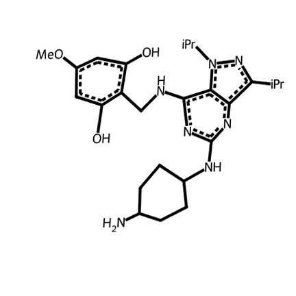 COc1cc(O)c(CNc2nc(NC3CCC(N)CC3)nc3c(C(C)C)nn(C(C)C)c23)c(O)c1